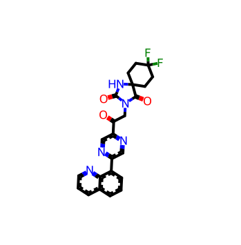 O=C(CN1C(=O)NC2(CCC(F)(F)CC2)C1=O)c1cnc(-c2cccc3cccnc23)cn1